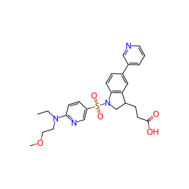 CCN(CCOC)c1ccc(S(=O)(=O)N2CC(CCC(=O)O)c3cc(-c4cccnc4)ccc32)cn1